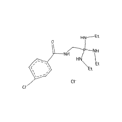 CCN[P+](CNC(=O)c1ccc(Cl)cc1)(NCC)NCC.[Cl-]